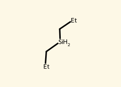 [CH2]CC[SiH2]CCC